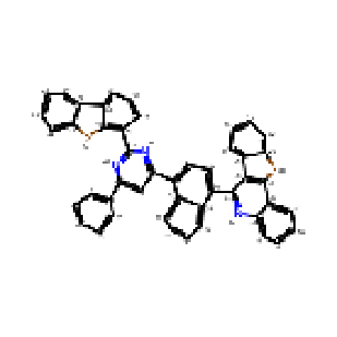 c1ccc(-c2cc(-c3ccc(-c4nc5ccccc5c5sc6ccccc6c45)c4ccccc34)nc(-c3cccc4c3sc3ccccc34)n2)cc1